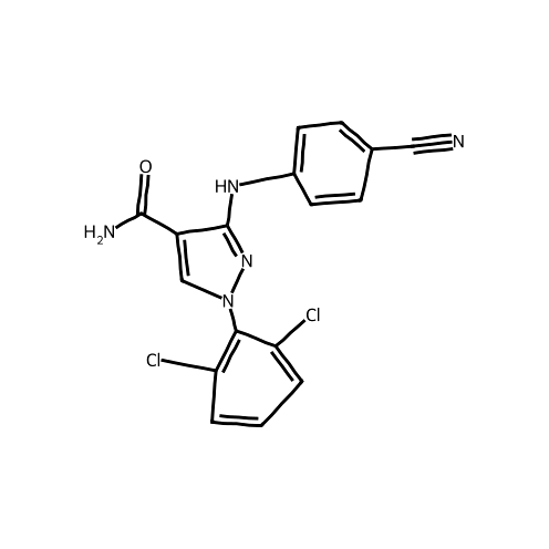 N#Cc1ccc(Nc2nn(-c3c(Cl)cccc3Cl)cc2C(N)=O)cc1